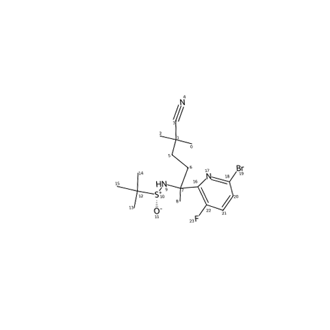 CC(C)(C#N)CCC(C)(N[S@+]([O-])C(C)(C)C)c1nc(Br)ccc1F